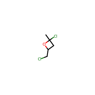 CC1(Cl)CC(CCl)O1